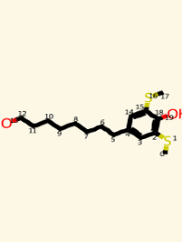 CSc1cc(CCCCCCCCO)cc(SC)c1O